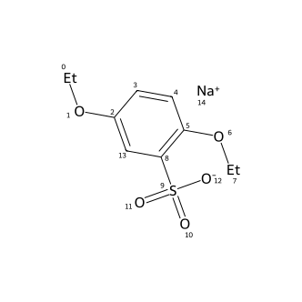 CCOc1ccc(OCC)c(S(=O)(=O)[O-])c1.[Na+]